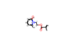 C=C(C)C(=O)OCCn1c(C)cccc1=O